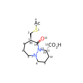 CC(=O)SC[C@@H]1CCCN2CCC[C@@H](C(=O)O)N2C1=O